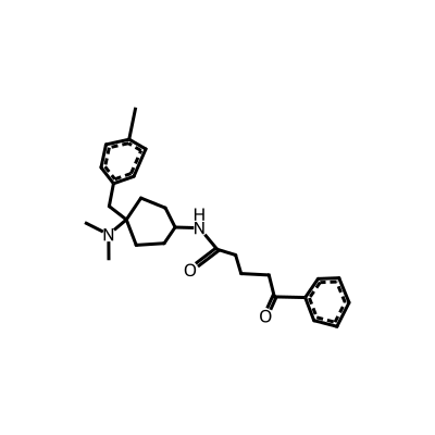 Cc1ccc(CC2(N(C)C)CCC(NC(=O)CCCC(=O)c3ccccc3)CC2)cc1